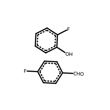 O=Cc1ccc(F)cc1.Oc1ccccc1F